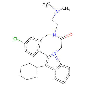 CN(C)CCN1Cc2cc(Cl)ccc2-c2c(C3CCCCC3)c3ccccc3n2CC1=O